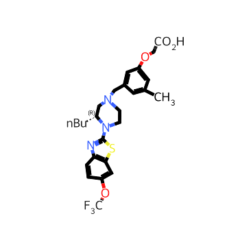 CCCC[C@@H]1CN(Cc2cc(C)cc(OCC(=O)O)c2)CCN1c1nc2ccc(OC(F)(F)F)cc2s1